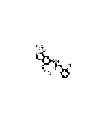 NSc1cc(NC(=O)Cc2ccccc2Cl)cc2c(OC(F)(F)F)nccc12